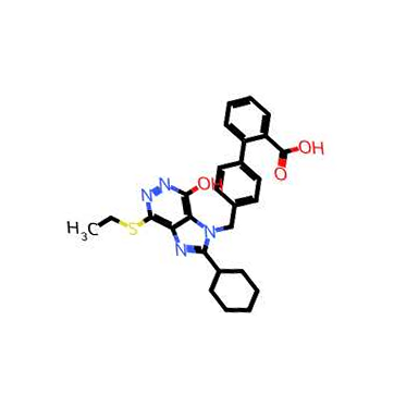 CCSc1nnc(O)c2c1nc(C1CCCCC1)n2Cc1ccc(-c2ccccc2C(=O)O)cc1